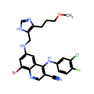 COCCCc1nc[nH]c1CNc1cc(Br)c2ncc(C#N)c(Nc3ccc(F)c(Cl)c3)c2c1